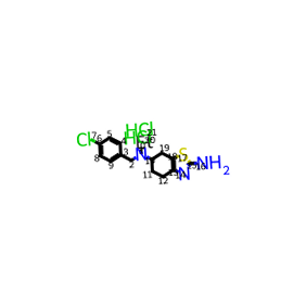 CCN(Cc1ccc(Cl)cc1)C1CCc2nc(N)sc2C1.Cl.Cl